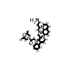 CC1CN(C(=O)Cn2c3ccccc3c3ccnc(CN(CCCCN)[C@H]4CCCc5cccnc54)c32)CC(C)O1